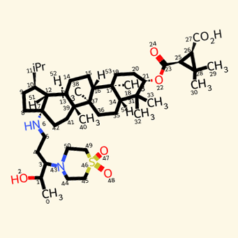 CC(O)C(CCN[C@]12CC[C@@H](C(C)C)[C@@H]1[C@H]1CC[C@@H]3[C@@]4(C)CC[C@H](OC(=O)[C@H]5[C@@H](C(=O)O)C5(C)C)C(C)(C)[C@@H]4CC[C@@]3(C)[C@]1(C)CC2)N1CCS(=O)(=O)CC1